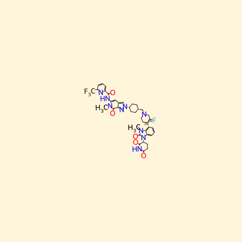 Cn1c(NC(=O)c2cccc(C(F)(F)F)n2)cc2cn([C@H]3CC[C@H](CN4CC[C@@H](c5cccc6c5n(C)c(=O)n6C5CCC(=O)NC5=O)[C@H](F)C4)CC3)nc2c1=O